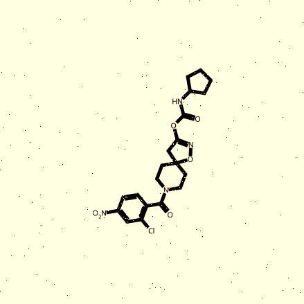 O=C(NC1CCCC1)OC1=NOC2(CCN(C(=O)c3ccc([N+](=O)[O-])cc3Cl)CC2)C1